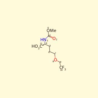 COC(=O)N[C@@H](CCCOCC(F)(F)F)C(=O)O